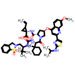 C=CC1C[C@]1(NC(=O)[C@@H]1C[C@@H](Oc2cc(-c3csc(NC(C)C)n3)nc3cc(OC)ccc23)CN1C(=O)[C@@H](NC(=O)NC(CN1Cc2ccccc2S1(=O)=O)C(C)(C)C)C1(C)CCCCC1)C(=O)O